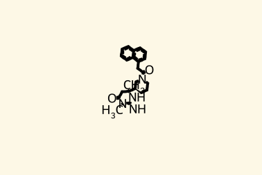 CN1C(=N)N[C@](C)([C@@H]2CCCN(C(=O)Cc3cccc4ccccc34)C2)CC1=O